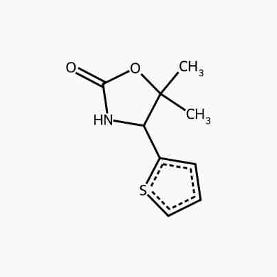 CC1(C)OC(=O)NC1c1cccs1